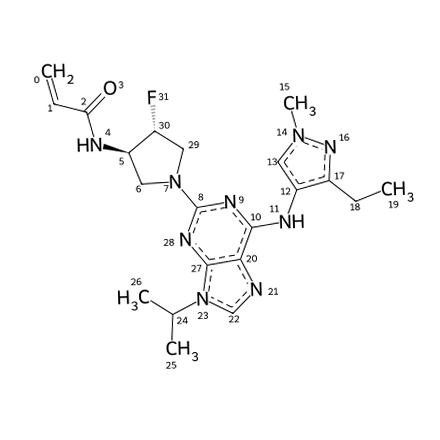 C=CC(=O)N[C@@H]1CN(c2nc(Nc3cn(C)nc3CC)c3ncn(C(C)C)c3n2)C[C@H]1F